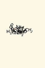 C=CC(=O)N[C@H]1CCCC[C@H]1NC(=O)c1sc2c(N)ccc3c2c1C(N)C(=O)C3(N)c1ccc(Oc2ccccc2)cn1